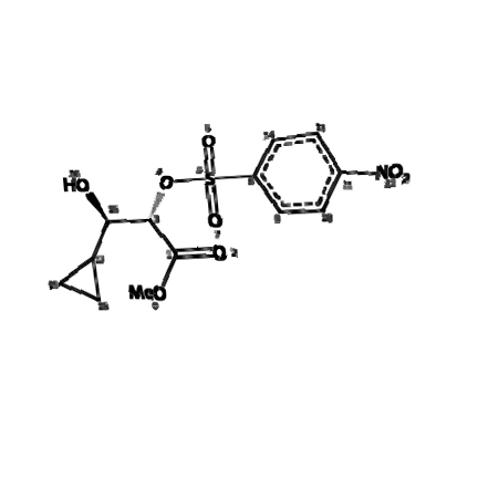 COC(=O)[C@@H](OS(=O)(=O)c1ccc([N+](=O)[O-])cc1)[C@H](O)C1CC1